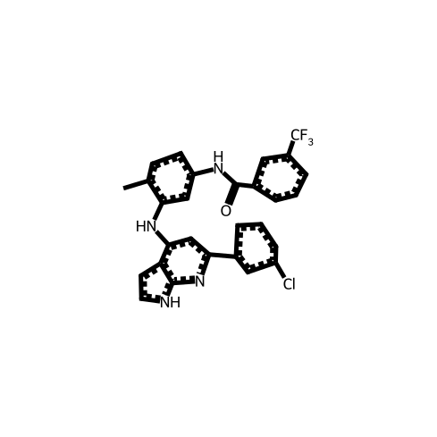 Cc1ccc(NC(=O)c2cccc(C(F)(F)F)c2)cc1Nc1cc(-c2cccc(Cl)c2)nc2[nH]ccc12